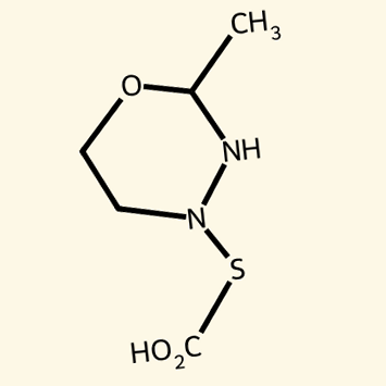 CC1NN(SC(=O)O)CCO1